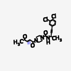 CC(=O)/C=C/C(=O)N1CCN(C(=O)NC(C)C#Cc2ccc(Cl)c(Cl)c2)CC1